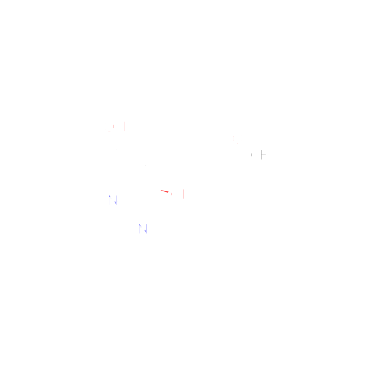 CC1(O)CC(c2ccc(OC(F)(F)F)cc2)([C@@H](O)c2ncccn2)C1